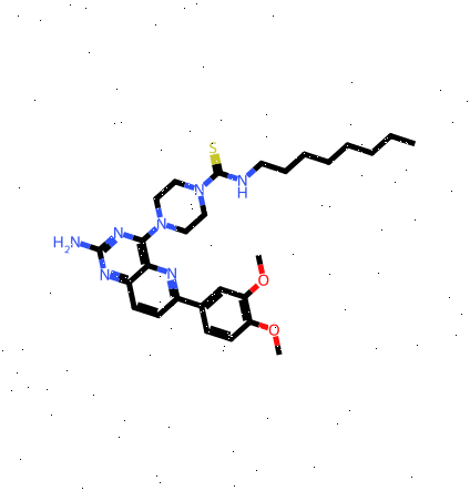 CCCCCCCCNC(=S)N1CCN(c2nc(N)nc3ccc(-c4ccc(OC)c(OC)c4)nc23)CC1